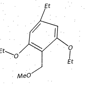 CCOc1cc(CC)cc(OCC)c1COC